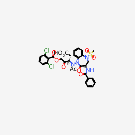 CC(=O)N([C@@H](CC(=O)O)C(=O)COC(=O)c1c(Cl)cccc1Cl)N1C(=O)[C@@H](NC(=O)c2ccccc2)CN(S(C)(=O)=O)c2ccccc21